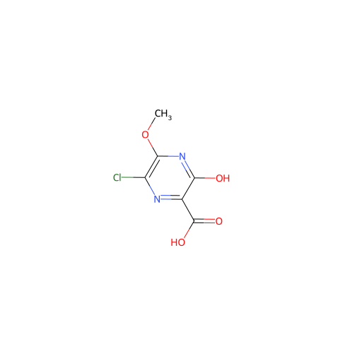 COc1nc(O)c(C(=O)O)nc1Cl